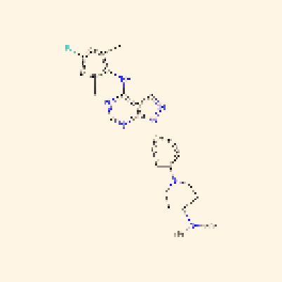 CCCN(CCC)C1CCN(c2ccc(-n3ncc4c(Nc5c(C)cc(F)cc5C)ncnc43)cc2)CC1